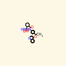 CC(Oc1ccnc2ccccc12)c1ccc(NC(=O)C2CCCCC2C(=O)NO)cc1